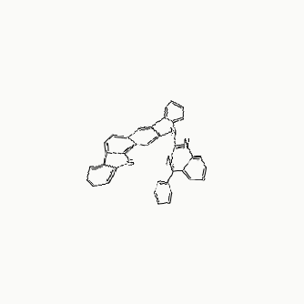 c1ccc(-c2nc(-n3c4ccccc4c4cc5ccc6c7ccccc7sc6c5cc43)nc3ccccc23)cc1